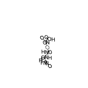 CN1C(C(=O)O)=C(c2ccccc2)OC1C1CCC(C(=O)NCCNC(=O)c2cn(-c3ccccc3)nc2C(F)(F)F)CC1